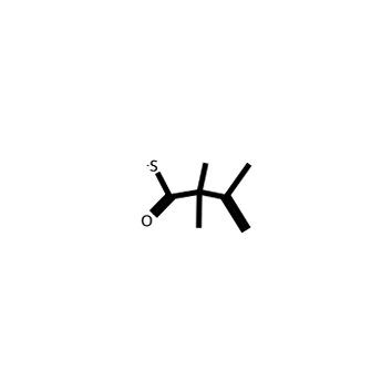 C=C(C)C(C)(C)C(=O)[S]